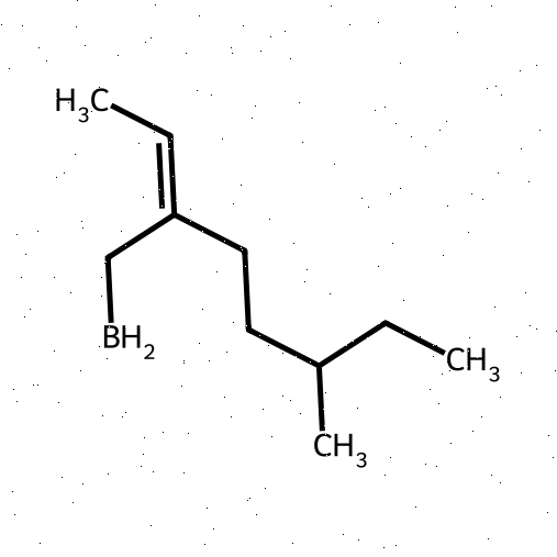 BC/C(=C\C)CCC(C)CC